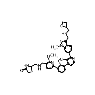 COc1nc(-c2cccc(-c3ccnc(-c4ccc5c(CNCC6CCO6)nn(C)c5c4)c3Cl)c2Cl)ccc1CNCC1CCC(=O)N1